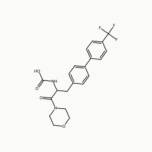 O=C(O)NC(Cc1ccc(-c2ccc(C(F)(F)F)cc2)cc1)C(=O)N1CCOCC1